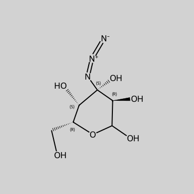 [N-]=[N+]=N[C@@]1(O)[C@@H](O)C(O)O[C@H](CO)[C@@H]1O